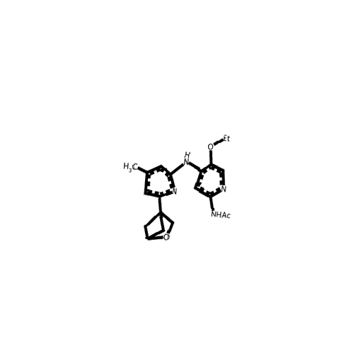 CCOc1cnc(NC(C)=O)cc1Nc1cc(C)cc(C23COC(C2)C3)n1